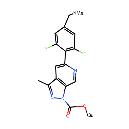 CNCc1cc(F)c(-c2cc3c(C)nn(C(=O)OC(C)(C)C)c3cn2)c(F)c1